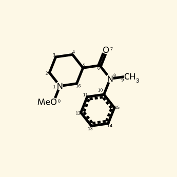 CON1CCCC(C(=O)N(C)c2ccccc2)C1